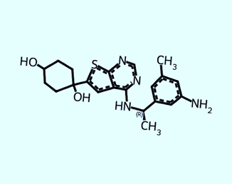 Cc1cc(N)cc([C@@H](C)Nc2ncnc3sc(C4(O)CCC(O)CC4)cc23)c1